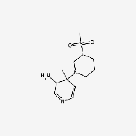 CC1(N2CCCC(S(C)(=O)=O)C2)C=CN=CC1N